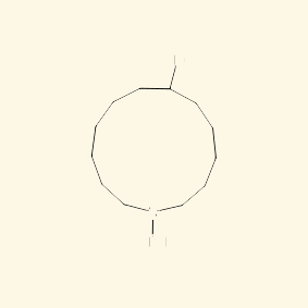 CCC1CCCCCCN(P)CCCCC1